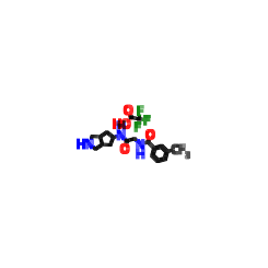 O=C(CNC(=O)c1cccc(C(F)(F)F)c1)NC1CC2CNCC2C1.O=C(O)C(F)(F)F